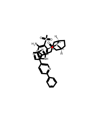 Cc1n[nH]c(CC(=O)N2[C@@H]3CC[C@H]2C[C@@H](c2nc4c(-c5ccc(-c6ccccc6)nc5)cnn4c(N)c2S(C)(=O)=O)C3)n1